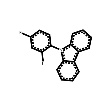 Fc1ccc(-n2c3ccccc3c3ccccc32)c(F)c1